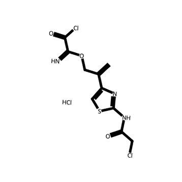 C=C(COC(=N)C(=O)Cl)c1csc(NC(=O)CCl)n1.Cl